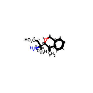 C=C1c2ccccc2CO[C@@H]1C(N)(CC(=O)O)C(=O)O